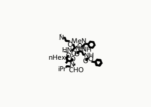 CCCCCC/C(O[C@@H](C)NC(=O)C(COCCCN(C)C)NC(=O)C(CNC(=O)OCc1ccccc1)NC(=O)C(NC)C1CCCCC1)=C(\C)C(=O)N(C)C(C=O)CC(C)C